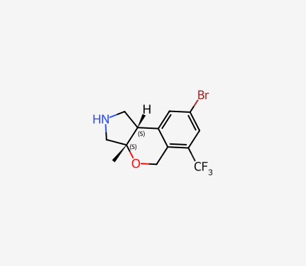 C[C@@]12CNC[C@@H]1c1cc(Br)cc(C(F)(F)F)c1CO2